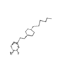 CCCCCCC1CC=C(CCc2ccc(F)c(F)c2)CC1